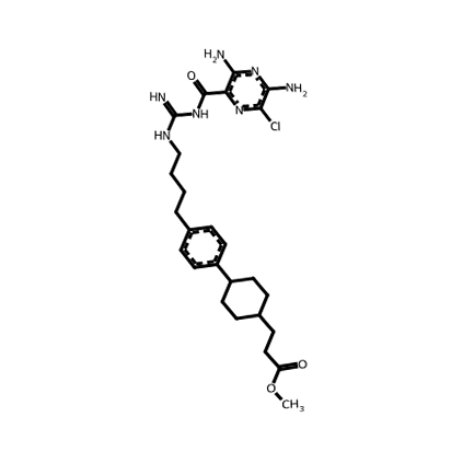 COC(=O)CCC1CCC(c2ccc(CCCCNC(=N)NC(=O)c3nc(Cl)c(N)nc3N)cc2)CC1